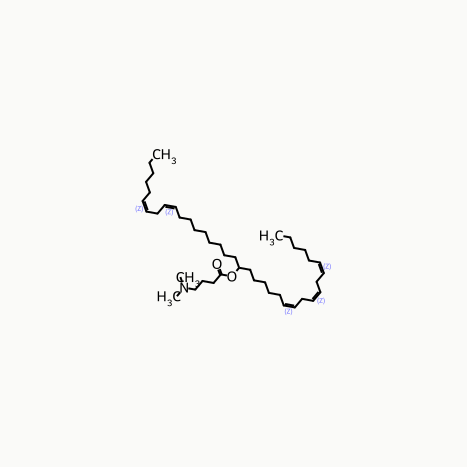 CCCCC/C=C\C/C=C\C/C=C\CCCCCC(CCCCCCCC/C=C\C/C=C\CCCCC)OC(=O)CCCN(C)C